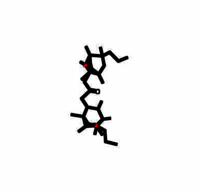 CCCC1(C)CC2(C)C(C)=C(C)C1(C)C(C)C2CC(=O)CC1C(C)C2(C)C(C)=C(C)C1(C)CC2(C)CCC